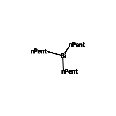 CCCC[CH2][Bi]([CH2]CCCC)[CH2]CCCC